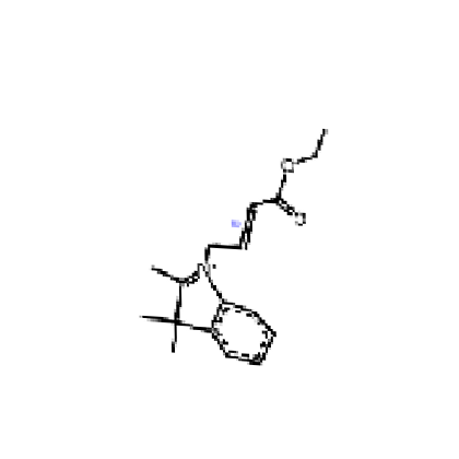 CCOC(=O)/C=C/C[N+]1=C(C)C(C)(C)c2ccccc21